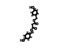 O=C(CC(=O)OCc1ccc(O)cc1)OCc1ccc(O)cc1